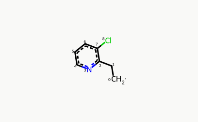 [CH2]Cc1ncccc1Cl